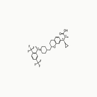 C[C@H](C(=O)O)[C@H](c1ccc2c(c1)OC(CC1CCN([C@H](C)c3cc(C(F)(F)F)ccc3C(F)(F)F)CC1)CC2)C1CC1